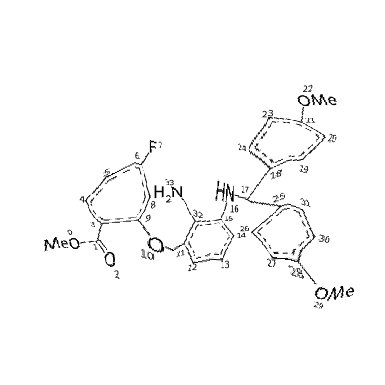 COC(=O)c1ccc(F)cc1Oc1cccc(NC(c2ccc(OC)cc2)c2ccc(OC)cc2)c1N